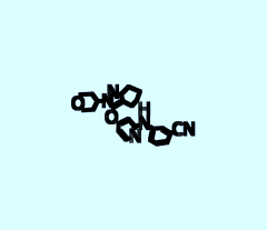 N#Cc1cccc(Nc2cc(Oc3c4c(nn3C3CCOCC3)CCCC4)ccn2)c1